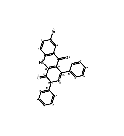 O=c1c2cc(Br)ccc2[nH]c2c(=O)n(-c3ccccc3)nc(-c3ccccc3)c12